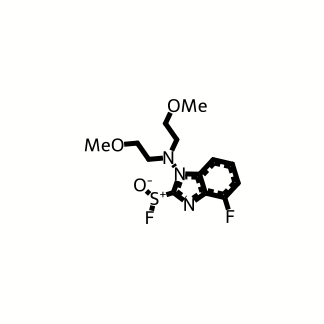 COCCN(CCOC)n1c([S+]([O-])F)nc2c(F)cccc21